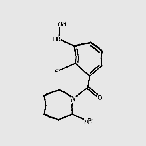 CCCC1CCCCN1C(=O)c1cccc(BO)c1F